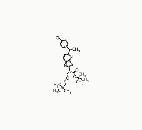 CC(c1ccc(Cl)cc1)c1ccc2nc(N(COCC[Si](C)(C)C)C(=O)OC(C)(C)C)sc2n1